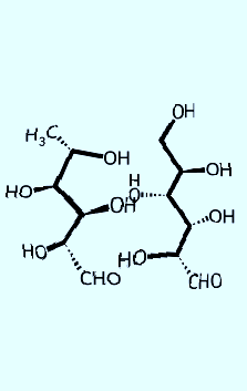 C[C@H](O)[C@H](O)[C@@H](O)[C@@H](O)C=O.O=C[C@H](O)[C@@H](O)[C@H](O)[C@H](O)CO